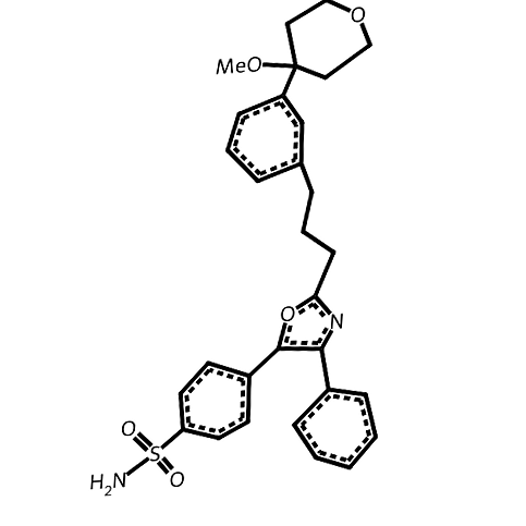 COC1(c2cccc(CCCc3nc(-c4ccccc4)c(-c4ccc(S(N)(=O)=O)cc4)o3)c2)CCOCC1